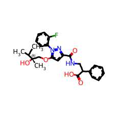 CC(C)[C@@](C)(O)COc1cc(C(=O)NCC(C(=O)O)c2ccccc2)nn1-c1ccccc1F